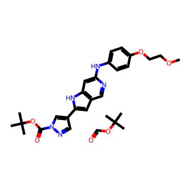 CC(C)(C)OC=O.COCCOc1ccc(Nc2cc3[nH]c(-c4cnn(C(=O)OC(C)(C)C)c4)cc3cn2)cc1